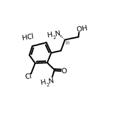 Cl.NC(=O)c1c(Cl)cccc1C[C@H](N)CO